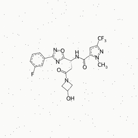 Cn1nc(C(F)(F)F)cc1C(=O)N[C@H](CC(=O)N1CC(O)C1)c1nc(-c2cccc(F)c2)no1